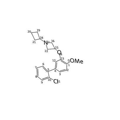 COc1ccc(-c2ccccc2Cl)cc1OC1CN(C2CCC2)C1